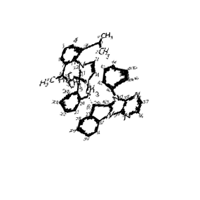 CC(C)c1cccc(C(C)C)c1N1C=CN(C)C1(C)c1ccccc1C[C@H]1c2ccccc2N2c3nccnc3N(c3ccccc3)C12